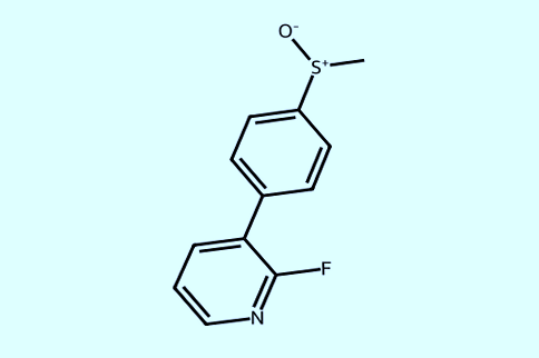 C[S+]([O-])c1ccc(-c2cccnc2F)cc1